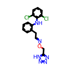 Clc1cccc(Cl)c1Nc1ccccc1CC=NOCc1nnn[nH]1